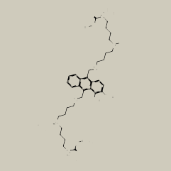 CN(CCCCN(CCCCNCc1c2ccccc2c(CNCCCCN(CCCCN(C)C(=O)OC(C)(C)C)C(=O)O)c2c(C(C)(C)C)c(C(C)(C)C)ccc12)C(=O)O)C(=O)OC(C)(C)C